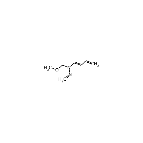 C=C/C=C/N(COC)N=C